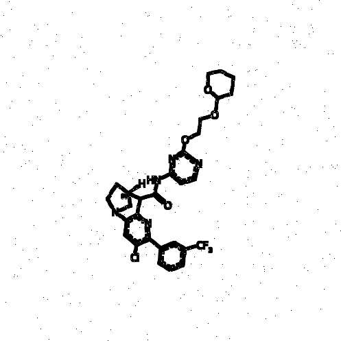 O=C(Nc1ccnc(OCCOC2CCCCO2)n1)C1c2nc(-c3cccc(C(F)(F)F)c3)c(Cl)cc2N2CC[C@H]1C2